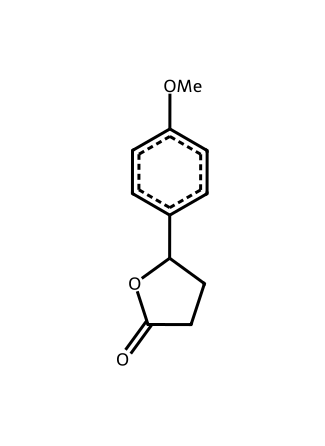 COc1ccc(C2CCC(=O)O2)cc1